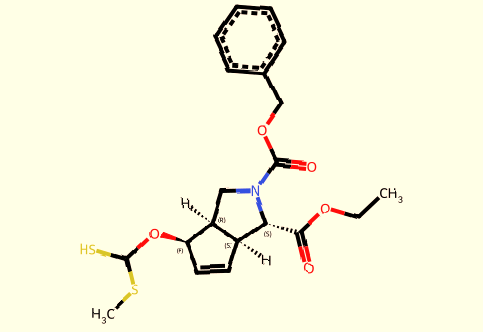 CCOC(=O)[C@@H]1[C@H]2C=C[C@@H](OC(S)SC)[C@H]2CN1C(=O)OCc1ccccc1